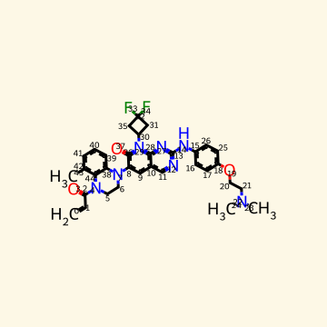 C=CC(=O)N1CCN(c2cc3cnc(Nc4ccc(OCCN(C)C)cc4)nc3n(C3CC(F)(F)C3)c2=O)c2cccc(C)c21